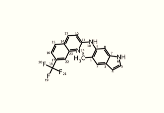 Cc1cc2cc[nH]c2cc1Nc1ccc2ccc(C(F)(F)F)cc2n1